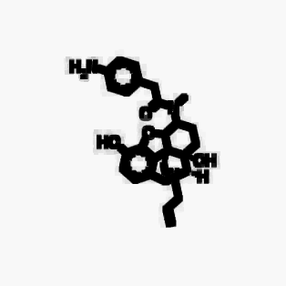 C=CCN1CC[C@]23c4c5ccc(O)c4OC2C(N(C)C(=O)Cc2ccc(N)cc2)CC[C@@]3(O)[C@H]1C5